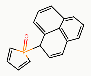 O=P1(C2C=Cc3cccc4cccc2c34)C=CC=C1